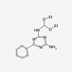 CCOC(Nc1nc(N)nc(-c2ccccc2)n1)OCC